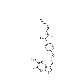 C=C/C=C\C=C(/C)C(=O)c1ccc(OCCc2csc(SC(C)C(=O)O)n2)cc1